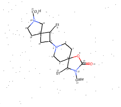 CCC1C(N2CCC3(CC2)OC(=O)N(OC)C3CC)CC12CCN(C(=O)O)C2